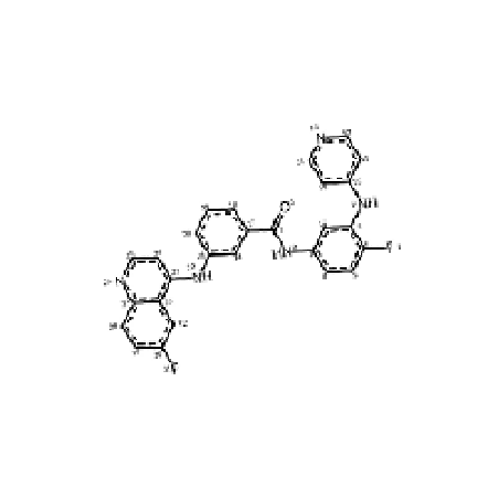 O=C(Nc1ccc(F)c(Nc2ccncc2)c1)c1cccc(Nc2ccnc3ccc(F)cc23)c1